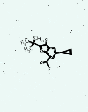 CC(C)(C)c1oc2c(C(F)F)cc(C3CC3)cc2c1Cl